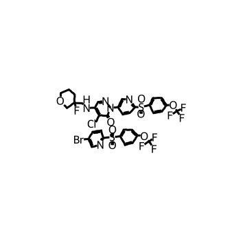 O=S(=O)(c1ccc(OC(F)(F)F)cc1)c1ccc(Br)cn1.O=c1c(Cl)c(NCC2(F)CCCOC2)cnn1-c1ccc(S(=O)(=O)c2ccc(OC(F)(F)F)cc2)nc1